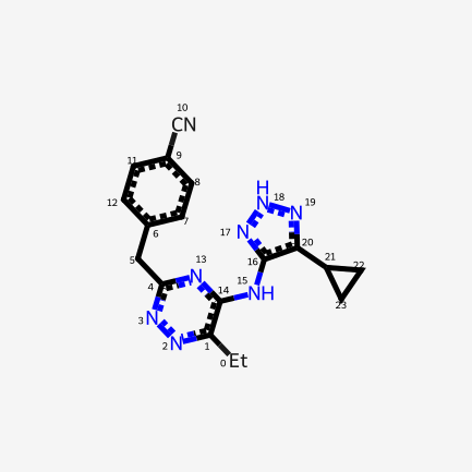 CCc1nnc(Cc2ccc(C#N)cc2)nc1Nc1n[nH]nc1C1CC1